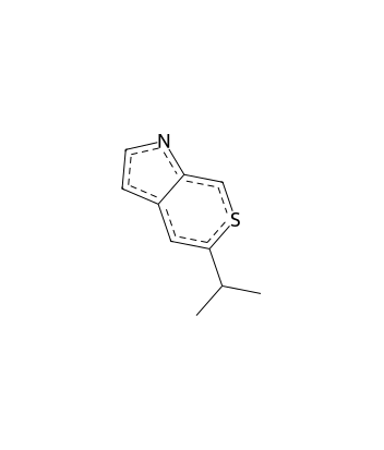 CC(C)c1cc2ccnc-2cs1